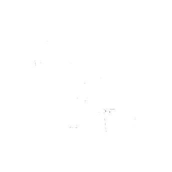 CCC(CC)[SiH2]OC(=O)OCC(C)C